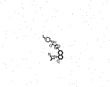 C=C(C#N)CNc1c(OC)ccc2ccc(-c3nc(C(=O)NC4CCN(CC)CC4)co3)cc12